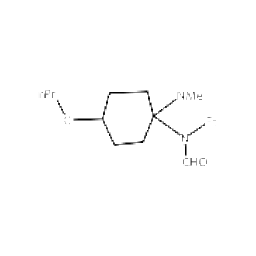 CCCOC1CCC(NC)(N(C=O)CC)CC1